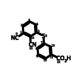 N#Cc1cccc(Sc2cccc(C(=O)O)c2)c1C#N